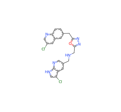 Clc1cnc2ccc(Cc3nnc(CNCc4cnc5[nH]cc(Cl)c5c4)o3)cc2c1